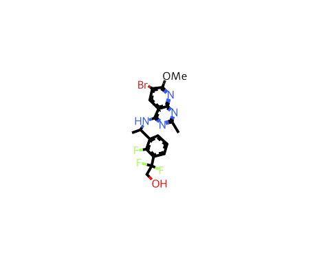 COc1nc2nc(C)nc(NC(C)c3cccc(C(F)(F)CO)c3F)c2cc1Br